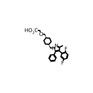 Cc1nn(C[C@H]2CC[C@@H](COCC(=O)O)CC2)c(-c2ccccc2)c1-c1cc(F)ccc1F